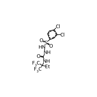 CCC(NC(=O)NNS(=O)(=O)c1ccc(Cl)c(Cl)c1)(C(F)(F)F)C(F)(F)F